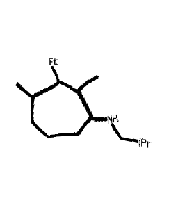 CCC1C(C)CCCC(NCC(C)C)C1C